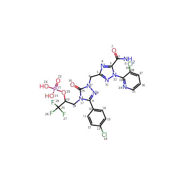 NC(=O)c1nc(Cn2nc(-c3ccc(Cl)cc3)n(CC(OP(=O)(O)O)C(F)(F)F)c2=O)nn1-c1ncccc1Cl